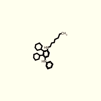 CCCCCCCNc1ccc(Nc2ccccc2)c(C2CCCCC2)c1C1CCCCC1